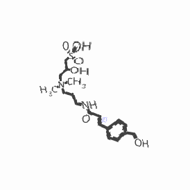 C[N+](C)(CCCNC(=O)/C=C/c1ccc(CO)cc1)CC(O)CS(=O)(=O)O